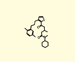 Cc1ccc(C)c(CCCc2ccsc2C(=O)CC(C)CC(=O)N(C)C2CCCCC2)c1